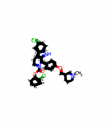 CN1CCCC(COc2ccc(C3c4[nH]c5ccc(Cl)cc5c4CCN3C(=O)Oc3ccccc3Cl)cc2)C1